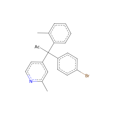 CC(=O)C(c1ccc(Br)cc1)(c1ccnc(C)c1)c1ccccc1C